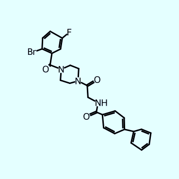 O=C(NCC(=O)N1CCN(C(=O)c2cc(F)ccc2Br)CC1)c1ccc(-c2ccccc2)cc1